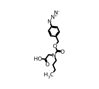 CCCCN(CC(=O)O)C(=O)OCc1ccc(N=[N+]=[N-])cc1